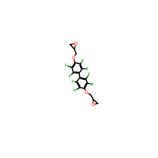 Fc1c(F)c(-c2c(F)c(F)c(OCC3CO3)c(F)c2F)c(F)c(F)c1OCC1CO1